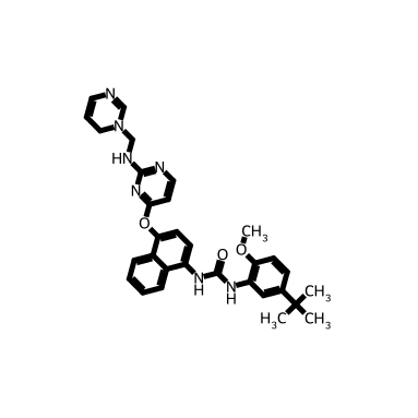 COc1ccc(C(C)(C)C)cc1NC(=O)Nc1ccc(Oc2ccnc(NCN3C=NC=CC3)n2)c2ccccc12